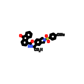 COc1ccc(S(=O)(=O)N2Cc3ccc(C(NC(=O)c4cccc5c4-c4ccccc4C5=O)C(=O)O)cc3C2)cc1